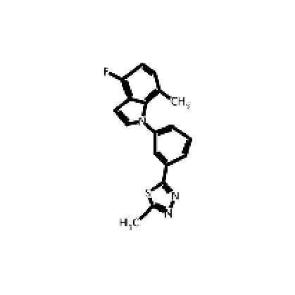 Cc1nnc(-c2cccc(-n3ccc4c(F)ccc(C)c43)c2)s1